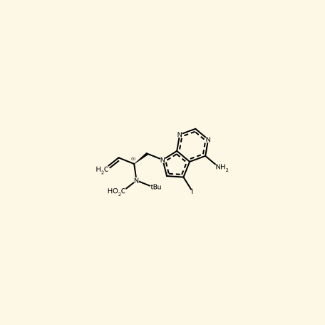 C=C[C@@H](Cn1cc(I)c2c(N)ncnc21)N(C(=O)O)C(C)(C)C